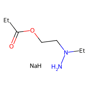 CCC(=O)OCCN(N)CC.[NaH]